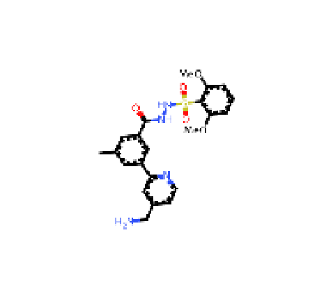 COc1cccc(OC)c1S(=O)(=O)NNC(=O)c1cc(C)cc(-c2cc(CN)ccn2)c1